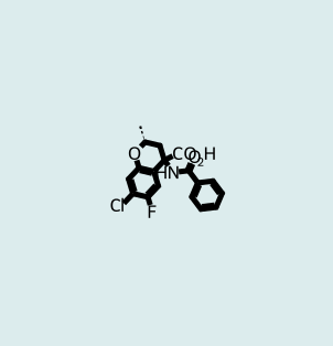 C[C@@H]1CC(NC(=O)c2ccccc2)(C(=O)O)c2cc(F)c(Cl)cc2O1